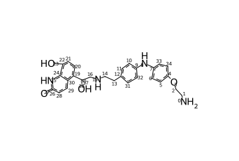 NCCOc1ccc(Nc2ccc(CCNC[C@H](O)c3ccc(O)c4[nH]c(=O)ccc34)cc2)cc1